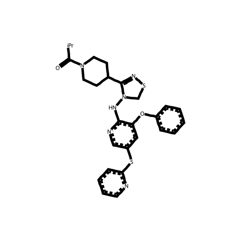 CC(C)C(=O)N1CCC(C2=NSCN2Nc2ncc(Sc3ccccn3)cc2Oc2ccccc2)CC1